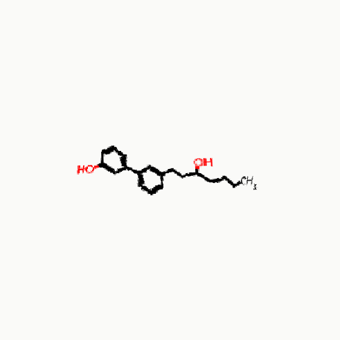 CCCCC(O)CCc1cccc(-c2cccc(O)c2)c1